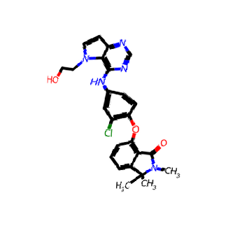 CN1C(=O)c2c(Oc3ccc(Nc4ncnc5ccn(CCO)c45)cc3Cl)cccc2C1(C)C